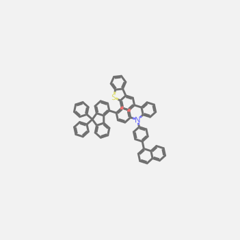 c1ccc(C2(c3ccccc3)c3ccccc3-c3c(-c4ccc(N(c5ccc(-c6cccc7ccccc67)cc5)c5ccccc5-c5ccc6sc7ccccc7c6c5)cc4)cccc32)cc1